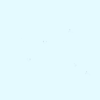 C=C(C)C(=O)OCC(CSC(C)=O)C(C)=O